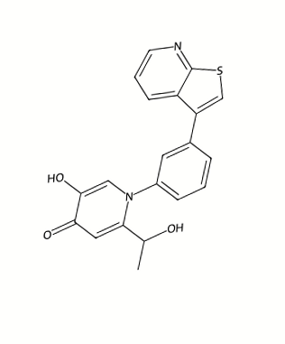 CC(O)c1cc(=O)c(O)cn1-c1cccc(-c2csc3ncccc23)c1